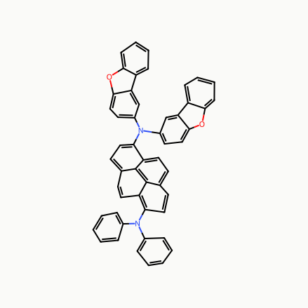 c1ccc(N(c2ccccc2)c2ccc3ccc4c(N(c5ccc6oc7ccccc7c6c5)c5ccc6oc7ccccc7c6c5)ccc5ccc2c3c54)cc1